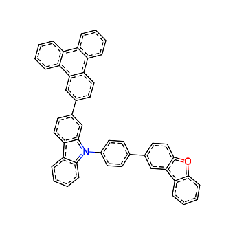 c1ccc2c(c1)oc1ccc(-c3ccc(-n4c5ccccc5c5ccc(-c6ccc7c8ccccc8c8ccccc8c7c6)cc54)cc3)cc12